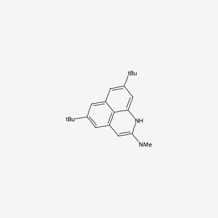 CNC1=Cc2cc(C(C)(C)C)cc3cc(C(C)(C)C)cc(c23)N1